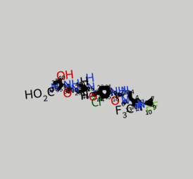 Cn1c(-c2cn([C@H]3CC3(F)F)nc2C(F)(F)F)cnc1C(=O)Nc1ccc(C(=O)N[C@@H]2[C@@H]3CN(C(=O)N[C@@H]4CN(C(=O)O)C[C@H]4O)C[C@@H]32)c(Cl)c1